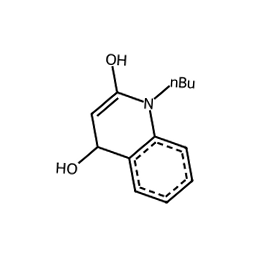 CCCCN1C(O)=CC(O)c2ccccc21